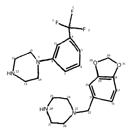 FC(F)(F)c1cccc(N2CCNCC2)c1.c1cc2c(cc1CN1CCNCC1)OCO2